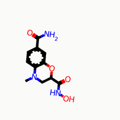 CN1CC(C(=O)NO)Oc2cc(C(N)=O)ccc21